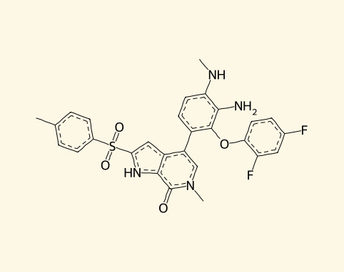 CNc1ccc(-c2cn(C)c(=O)c3[nH]c(S(=O)(=O)c4ccc(C)cc4)cc23)c(Oc2ccc(F)cc2F)c1N